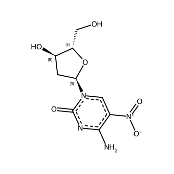 Nc1nc(=O)n([C@H]2C[C@@H](O)[C@H](CO)O2)cc1[N+](=O)[O-]